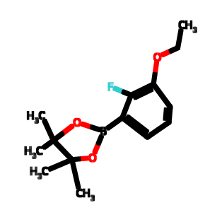 CCOc1cccc(B2OC(C)(C)C(C)(C)O2)c1F